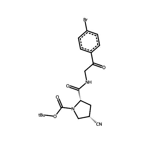 CC(C)(C)OC(=O)N1C[C@@H](C#N)C[C@H]1C(=O)NCC(=O)c1ccc(Br)cc1